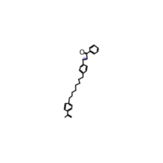 C=C(C)c1ccc(CCCCCCCCc2ccc(/C=C/C(=O)c3ccccc3)cc2)cc1